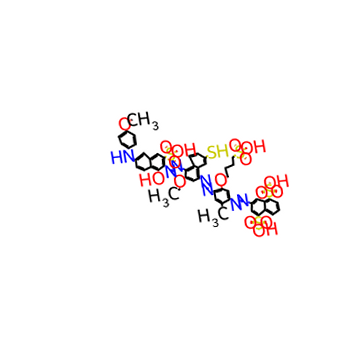 CCOc1cc(N=Nc2cc(C)c(N=Nc3cc(S(=O)(=O)O)c4cccc(S(=O)(=O)O)c4c3)cc2OCCCCS(=O)(=O)O)c2cc(S)ccc2c1N=Nc1c(S(=O)(=O)O)cc2cc(Nc3ccc(OC)cc3)ccc2c1O